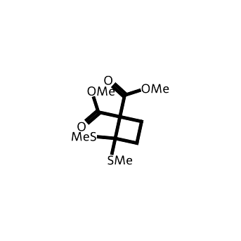 COC(=O)C1(C(=O)OC)CCC1(SC)SC